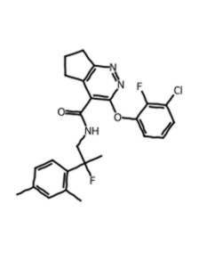 Cc1ccc(C(C)(F)CNC(=O)c2c(Oc3cccc(Cl)c3F)nnc3c2CCC3)c(C)c1